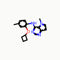 Cc1ccc(Nc2ncnc3ccn(C)c23)c(OC2CCC2)c1